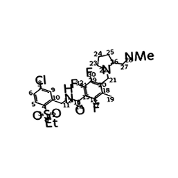 CCS(=O)(=O)c1ccc(Cl)cc1CNC(=O)c1c(F)c(C)c(CN2CCCC2CNC)c(F)c1F